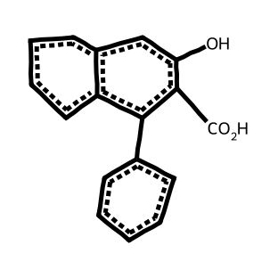 O=C(O)c1c(O)cc2ccccc2c1-c1ccccc1